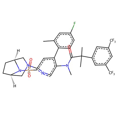 Cc1cc(F)ccc1-c1cc(N2C[C@H]3CC[C@@H](C2)N3S(C)(=O)=O)ncc1N(C)C(=O)C(C)(C)c1cc(C(F)(F)F)cc(C(F)(F)F)c1